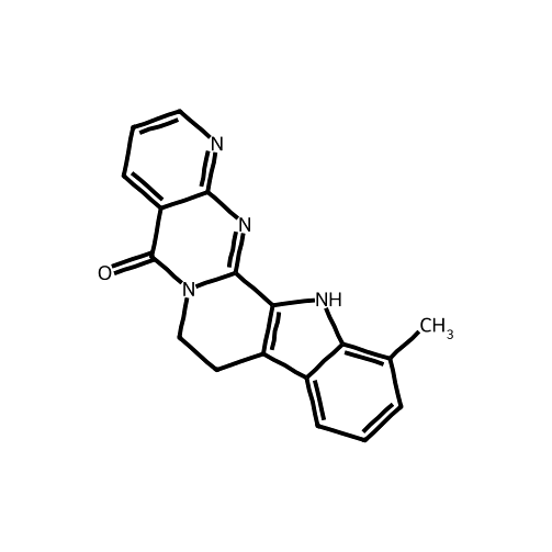 Cc1cccc2c3c([nH]c12)-c1nc2ncccc2c(=O)n1CC3